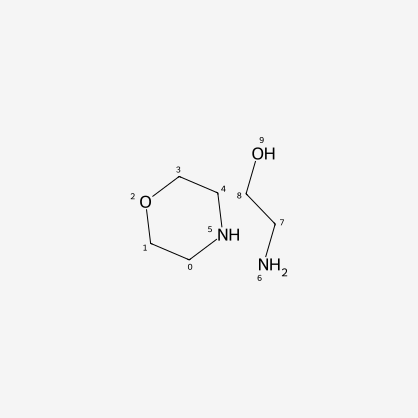 C1COCCN1.NCCO